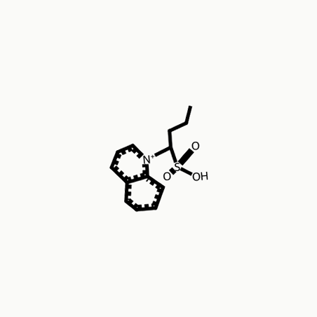 CCCC([n+]1cccc2ccccc21)S(=O)(=O)O